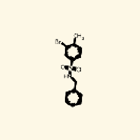 Cc1ccc(S(=O)(=O)NCc2ccccc2)cc1Br